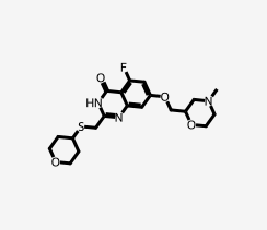 CN1CCOC(COc2cc(F)c3c(=O)[nH]c(CSC4CCOCC4)nc3c2)C1